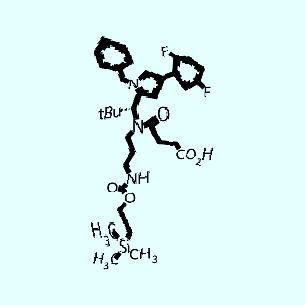 CC(C)(C)[C@H](c1cc(-c2cc(F)ccc2F)cn1Cc1ccccc1)N(CCCNC(=O)OCC[Si](C)(C)C)C(=O)CCC(=O)O